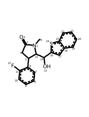 CN1C(=O)CC(c2ccccc2F)C1C(O)c1cc2ccccc2s1